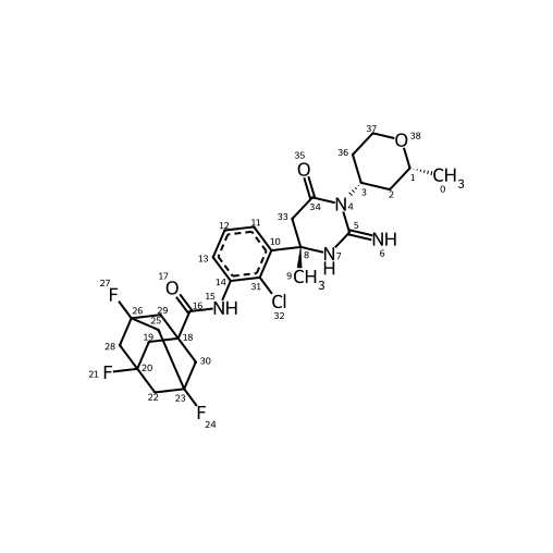 C[C@@H]1C[C@H](N2C(=N)N[C@](C)(c3cccc(NC(=O)C45CC6(F)CC(F)(CC(F)(C6)C4)C5)c3Cl)CC2=O)CCO1